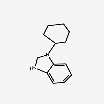 [CH]1Nc2ccccc2N1C1CCCCC1